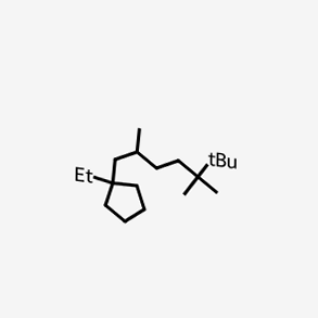 CCC1(CC(C)CCC(C)(C)C(C)(C)C)CCCC1